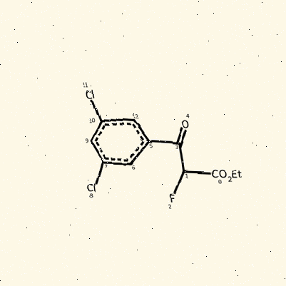 CCOC(=O)C(F)C(=O)c1cc(Cl)cc(Cl)c1